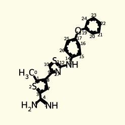 Cc1sc(C(=N)N)cc1-c1csc(Nc2ccc(Oc3ccccc3)cc2)n1